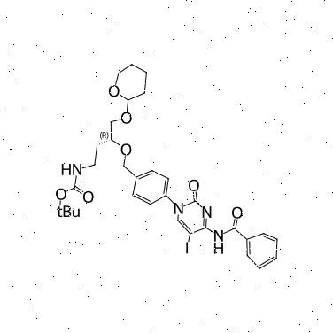 CC(C)(C)OC(=O)NCC[C@H](COC1CCCCO1)OCc1ccc(-n2cc(I)c(NC(=O)c3ccccc3)nc2=O)cc1